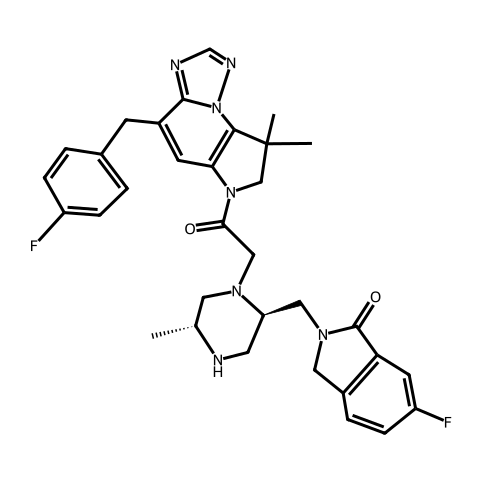 C[C@@H]1CN(CC(=O)N2CC(C)(C)c3c2cc(Cc2ccc(F)cc2)c2ncnn32)[C@@H](CN2Cc3ccc(F)cc3C2=O)CN1